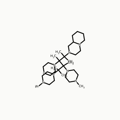 CC(C)N1CCN(C(C)(C)C(C)(N2CCN(C)CC2)C(C)(N2CCOCC2)C(C)(C)N2CCN3CCCCC3C2)CC1